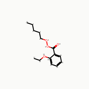 [CH2]CCCCOOC(=O)c1ccccc1OCC